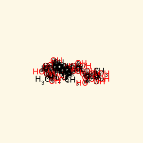 C=C(C)C1CC[C@]2(C(=O)O[C@@H]3O[C@H](CO[C@@H]4O[C@H](CO)[C@@H](O[C@@H]5O[C@@H](C)[C@H](O)[C@@H](O)[C@H]5O)[C@H](O)[C@H]4O)[C@@H](O)[C@H](O)[C@H]3O)CC[C@]3(C)C(CC[C@@H]4[C@@]5(C)CC[C@H](OC6OC[C@H](O)[C@H](O)[C@H]6O[C@@H]6O[C@@H](C)[C@H](O)[C@@H](O)[C@H]6O)[C@@](C)(CO)[C@@H]5CC[C@]43C)[C@@H]12